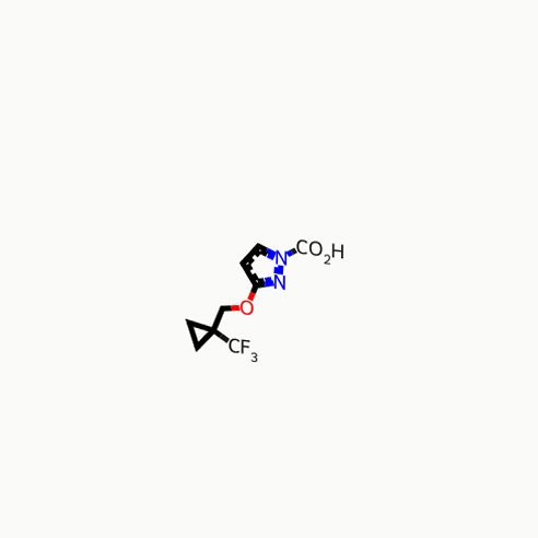 O=C(O)n1ccc(OCC2(C(F)(F)F)CC2)n1